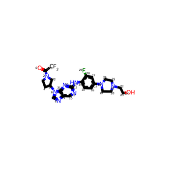 O=C(N1CCC(n2cnc3cnc(Nc4ccc(N5CCN(CCO)CC5)cc4F)nc32)C1)C(F)(F)F